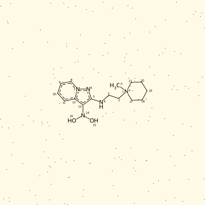 C[N+]1(CCNc2nn3ccccc3c2N(O)O)CCCCC1